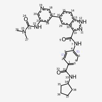 C=C(/C=C\C(=C/C)NC(=O)c1n[nH]c2ccc(-c3cncc(NC(=O)N(C)C)c3)cc12)C(=O)NC1CCCC1